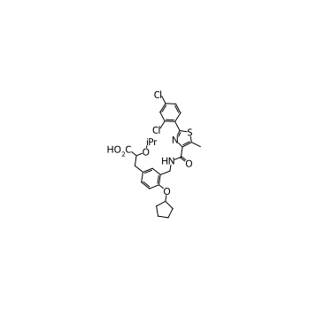 Cc1sc(-c2ccc(Cl)cc2Cl)nc1C(=O)NCc1cc(CC(OC(C)C)C(=O)O)ccc1OC1CCCC1